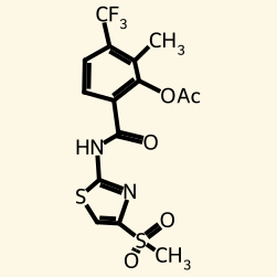 CC(=O)Oc1c(C(=O)Nc2nc(S(C)(=O)=O)cs2)ccc(C(F)(F)F)c1C